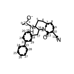 C[S+]([O-])NC1CCc2ccc(C#N)c(=O)n2C1Cc1cccc(-c2ccccc2)c1